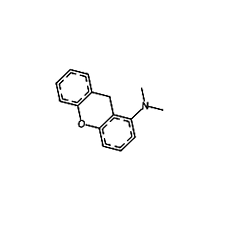 CN(C)c1cccc2c1Cc1ccccc1O2